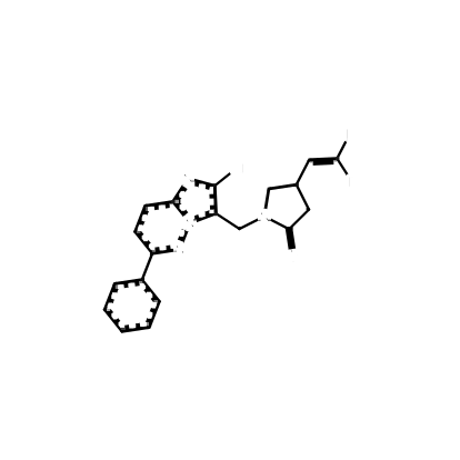 O=C1CC(C=C(F)F)CN1Cc1c(C(F)(F)F)nc2ccc(-c3ccccc3)nn12